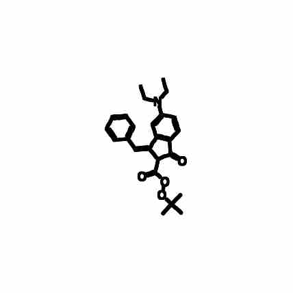 CCN(CC)c1ccc2c(c1)C(=Cc1ccccc1)C(C(=O)OOC(C)(C)C)C2=O